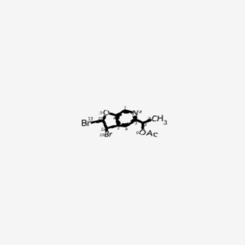 CC(=O)OC(C)c1cc2c(cn1)OC(Br)C2Br